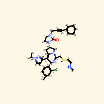 C=N/C=C\SCC1=N[C@@H](c2ccc(C)cc2Cl)C(c2ccn(C(C)F)n2)=C2C[C@H](N3CCN(CC#Cc4ccccc4)C3=O)CN12